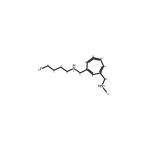 FCCCCNCC1=CC(CNI)=CC=C=C1